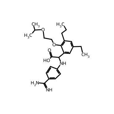 CCCc1cc(CC)cc(C(Nc2ccc(C(=N)N)cc2)C(=O)O)c1OCCOC(C)C